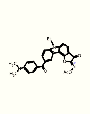 CCn1c2ccc(C(=O)c3ccc(N(C)C)cc3)cc2c2c3c(ccc21)C(=O)/C(=N/OC(C)=O)O3